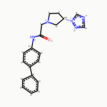 O=C(CN1CC[C@H](n2cncn2)C1)Nc1ccc(-c2ccccc2)cc1